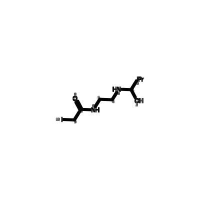 CC(C)C(O)NCCNC(=O)CI